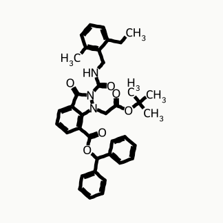 CCc1cccc(C)c1CNC(=O)n1c(=O)c2cccc(C(=O)OC(c3ccccc3)c3ccccc3)c2n1CC(=O)OC(C)(C)C